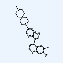 Cc1cc2c(-c3cnn4cc(N5CCC6(CCN(C)CC6)CC5)cnc34)ccnc2cc1F